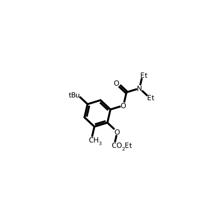 CCOC(=O)Oc1c(C)cc(C(C)(C)C)cc1OC(=O)N(CC)CC